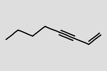 C=CC#CCCCC